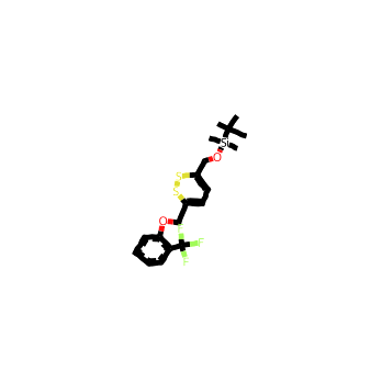 CC(C)(C)[Si](C)(C)OCC1=CC=C(COc2ccccc2C(F)(F)F)SS1